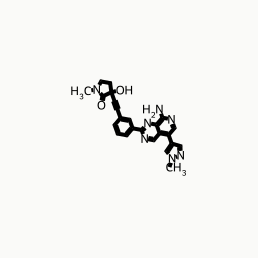 CN1CCC(O)(C#Cc2cccc(-c3ncc4c(-c5cnn(C)c5)cnc(N)c4n3)c2)C1=O